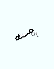 CC1=C(CCCOCCCC2=C(C)CCCC2)CCCC1